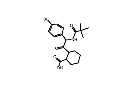 CC(C)(C)C(=O)NC(C(=O)C1CCCCC1C(=O)O)c1ccc(Br)cc1